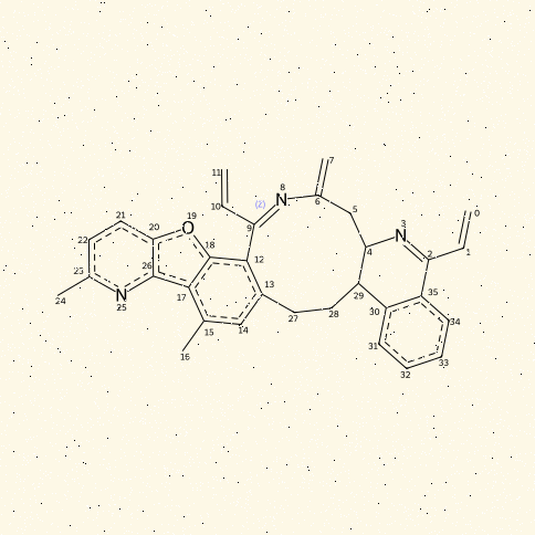 C=CC1=NC2CC(=C)/N=C(/C=C)c3c(cc(C)c4c3oc3ccc(C)nc34)CCC2c2ccccc21